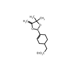 C=C1OB(C2=CCC(CC(=O)OCC)CC2)OC1(C)C